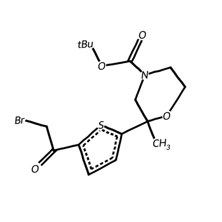 CC(C)(C)OC(=O)N1CCOC(C)(c2ccc(C(=O)CBr)s2)C1